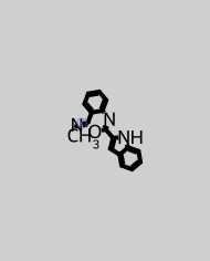 C/N=c1\oc(-c2cc3ccccc3[nH]2)nc2ccccc12